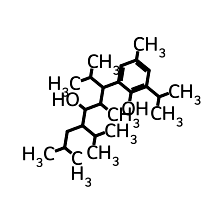 Cc1cc(C(C)C)c(O)c(C(C(C)C)C(C)C(O)C(CC(C)C)C(C)C)c1